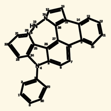 c1ccc(-n2c3ccc4c5ccccc5c5ccn6[nH][n+]7cccc2c7c3c4c56)cc1